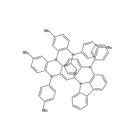 CC(C)(C)c1ccc(N2c3ccc(C(C)(C)C)cc3B3c4cc(C(C)(C)C)ccc4N(c4ccc(C(C)(C)C)cc4)c4cc(-n5c6ccccc6c6cccc(N(c7ccccc7)c7ccccc7)c65)cc2c43)cc1